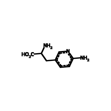 Nc1ccc(CC(N)C(=O)O)cn1